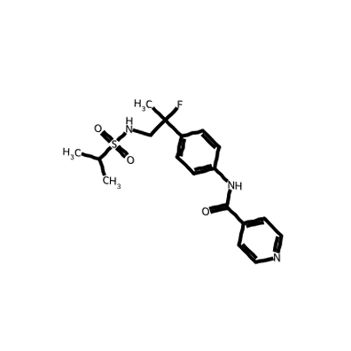 CC(C)S(=O)(=O)NCC(C)(F)c1ccc(NC(=O)c2ccncc2)cc1